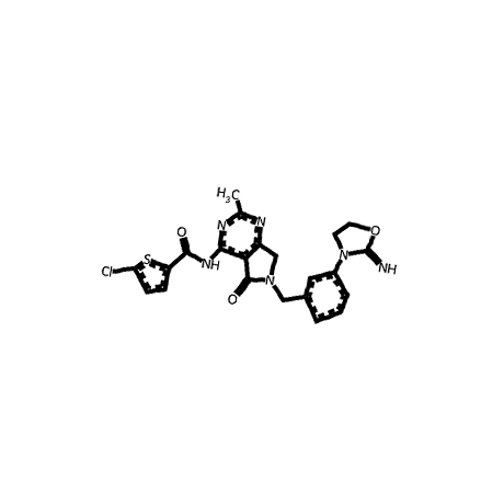 Cc1nc2c(c(NC(=O)c3ccc(Cl)s3)n1)C(=O)N(Cc1cccc(N3CCOC3=N)c1)C2